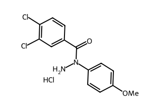 COc1ccc(N(N)C(=O)c2ccc(Cl)c(Cl)c2)cc1.Cl